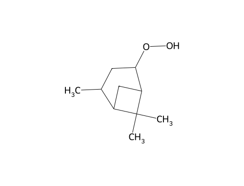 CC1CC(OO)C2CC1C2(C)C